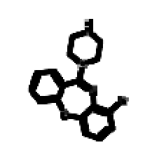 Brc1cccc2c1N=C(N1CCNCC1)c1ccccc1O2